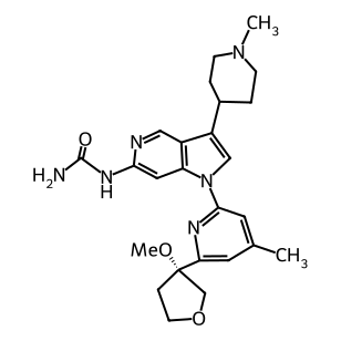 CO[C@@]1(c2cc(C)cc(-n3cc(C4CCN(C)CC4)c4cnc(NC(N)=O)cc43)n2)CCOC1